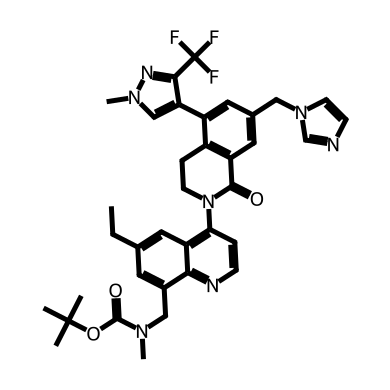 CCc1cc(CN(C)C(=O)OC(C)(C)C)c2nccc(N3CCc4c(cc(Cn5ccnc5)cc4-c4cn(C)nc4C(F)(F)F)C3=O)c2c1